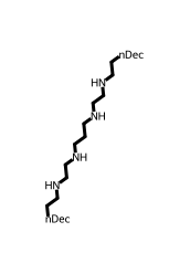 CCCCCCCCCCCCNCCNCCCNCCNCCCCCCCCCCCC